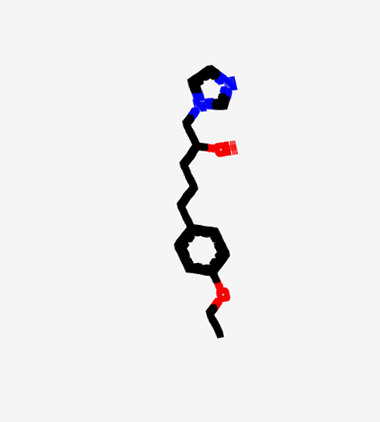 CCOc1ccc(CCCC(O)Cn2ccnc2)cc1